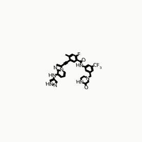 Cc1cc(F)c(C(=O)Nc2cc(CN3CCNC(=O)C3)cc(C(F)(F)F)c2)cc1C#Cc1cnc2c(Nc3cn[nH]c3)cccn12